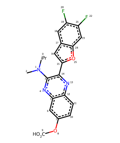 CC(C)N(C)c1nc2cc(OC(=O)O)ccc2nc1-c1cc2cc(F)c(F)cc2o1